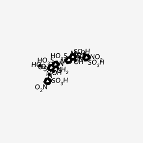 COc1cc([N+](=O)[O-])c(S(=O)(=O)O)cc1N=Nc1c(S(=O)(=O)O)cc2c(S(=O)(=O)O)c(N=Nc3cc(S(=O)(=O)O)c4cc(SOOO)c(N=Nc5ccc([N+](=O)[O-])cc5S(=O)(=O)O)c(O)c4c3N)ccc2c1O